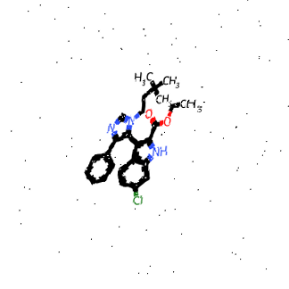 CCOC(=O)c1[nH]c2cc(Cl)ccc2c1-c1c(-c2ccccc2)ncn1CCC(C)(C)C